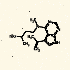 C=C(C)c1c[nH]c2ncnc(N(C)CCC(C)CCCC)c12